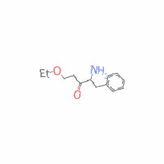 CCOCCC(=O)C(N)Cc1ccccc1